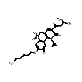 CCOCCCOc1cc2c(cc1Cl)-c1c(cc(C(=O)OC(C)C)c(=O)n1C1CC1)CS2(=O)=O